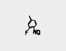 Cc1ccc(N=O)c(F)c1